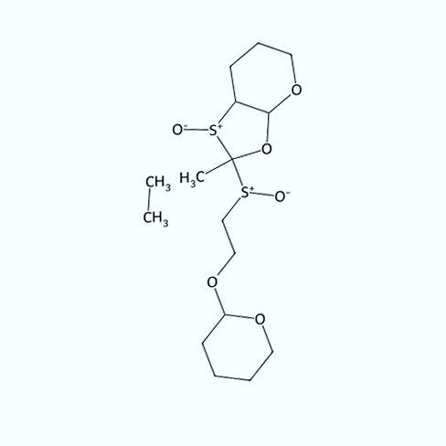 CC.CC1([S+]([O-])CCOC2CCCCO2)OC2OCCCC2[S+]1[O-]